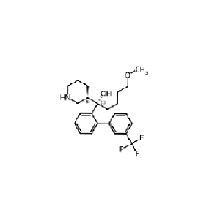 COCCCC[C@@](O)(c1ccccc1-c1cccc(C(F)(F)F)c1)[C@@H]1CCCNC1